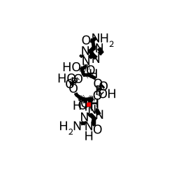 NC(=O)c1ncnc2c1ncn2[C@@H]1O[C@@H]2COP(=O)(O)O[C@@H]3[C@H](O)[C@@H](COP(=O)(O)OC2[C@H]1O)O[C@H]3n1cnc2c(=O)[nH]c(N)nc21